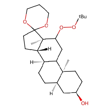 CC(C)(C)OOC1CC2[C@@H](CC[C@@H]3C[C@H](O)CC[C@]23C)[C@@H]2CCC3(OCCCO3)[C@@]12C